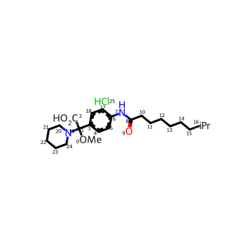 COC(C(=O)O)(c1ccc(NC(=O)CCCCCCC(C)C)cc1)N1CCCCC1.Cl